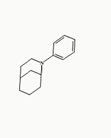 c1ccc(N2CCC3CCCC2C3)cc1